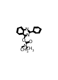 CCN(C)C(=O)Oc1nc(-c2ccccc2)nc2ccccc12